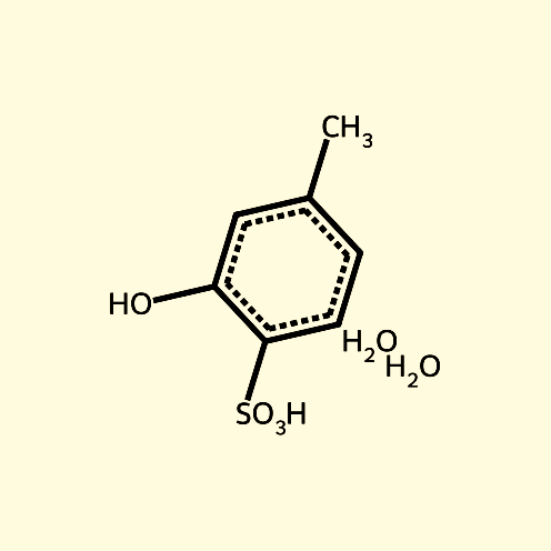 Cc1ccc(S(=O)(=O)O)c(O)c1.O.O